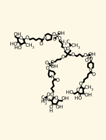 CC(=O)NC1[C@H](OCCCCC(=O)N2CCC(OP(=O)(O)OCCCOCC(COCCCOP(=O)(O)OC3CCN(C(=O)CCCCO[C@@H]4OC(CO)[C@H](O)[C@H](O)C4C)CC3)(COCCCOP(=O)(O)OC3CCN(C(=O)CCCCO[C@@H]4OC(CO)[C@H](O)[C@H](O)C4C)CC3)COC(C)C)CC2)OC(CO)[C@H](O)[C@@H]1O